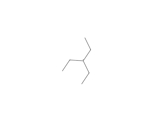 CC[C](CC)CC